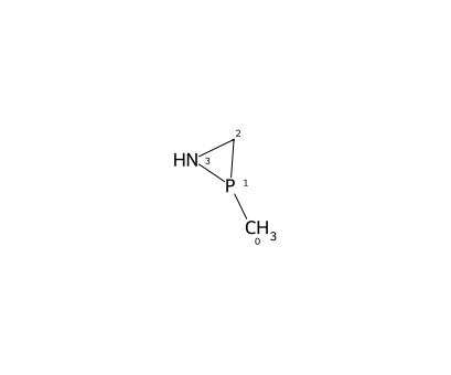 CP1CN1